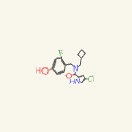 O=C(c1cc(Cl)c[nH]1)N(Cc1ccc(O)cc1F)CC1CCC1